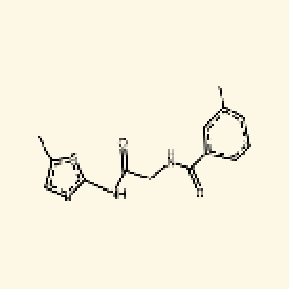 Cc1cccc(C(=O)NCC(=O)Nc2ncc(C)s2)c1